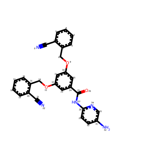 N#Cc1ccccc1COc1cc(OCc2ccccc2C#N)cc(C(=O)Nc2ccc(N)cn2)c1